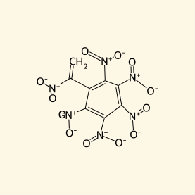 C=C(c1c([N+](=O)[O-])c([N+](=O)[O-])c([N+](=O)[O-])c([N+](=O)[O-])c1[N+](=O)[O-])[N+](=O)[O-]